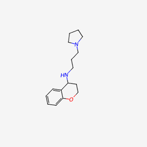 c1ccc2c(c1)OCCC2NCCCN1CCCC1